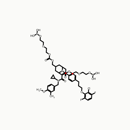 COc1ccc(CN(C(=O)C2=C(c3ccc(CCCOc4c(F)ccc(F)c4Cl)cc3)CC3CC(COC(=O)OCCOCCON(O)O)CC2N3C(=O)OCCOCCON(O)O)C2CC2)cc1C